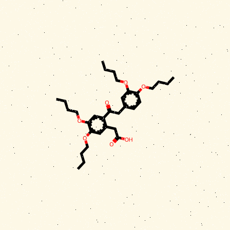 CCCCOc1ccc(CC(=O)c2cc(OCCCC)c(OCCCC)cc2CC(=O)O)cc1OCCCC